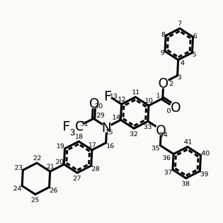 O=C(OCc1ccccc1)c1cc(F)c(N(Cc2ccc(C3CCCCC3)cc2)C(=O)C(F)(F)F)cc1OCc1ccccc1